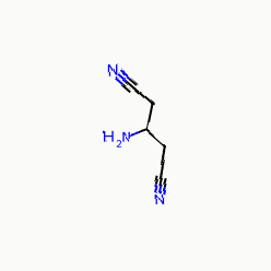 N#CCC(N)CC#N